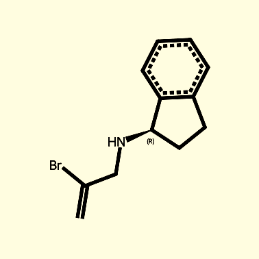 C=C(Br)CN[C@@H]1CCc2ccccc21